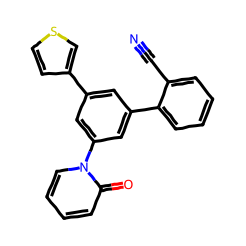 N#Cc1ccccc1-c1cc(-c2ccsc2)cc(-n2ccccc2=O)c1